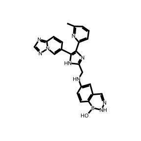 Cc1cccc(-c2nc(CNc3ccc4c(c3)C=NNB4O)[nH]c2-c2ccc3ncnn3c2)n1